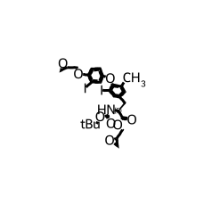 Cc1cc(C[C@H](NC(=O)OC(C)(C)C)C(=O)OCC2CO2)cc(I)c1Oc1ccc(OCC2CO2)c(I)c1